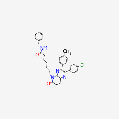 Cc1ccc(-c2nc3c(nc2-c2ccc(Cl)cc2)CCC(=O)N3CCCCCCC(=O)NCc2ccccc2)cc1